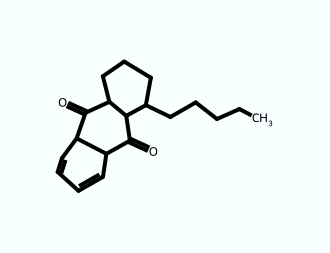 CCCCCC1CCCC2C(=O)C3C=CC=CC3C(=O)C12